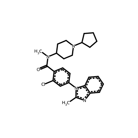 Cc1nc2ccccc2n1-c1ccc(C(=O)N(C)C2CCN(C3CCCC3)CC2)c(Cl)c1